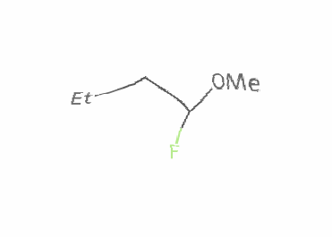 [CH2]OC(F)CCC